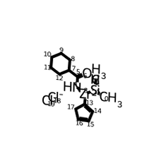 C[SiH](C)[Zr+2]([NH]C(=O)C1CCCCC1)[C]1=CC=CC1.[Cl-].[Cl-]